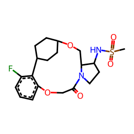 CS(=O)(=O)NC1CCN2C(=O)COc3cccc(F)c3C3CCC(CC3)OCC12